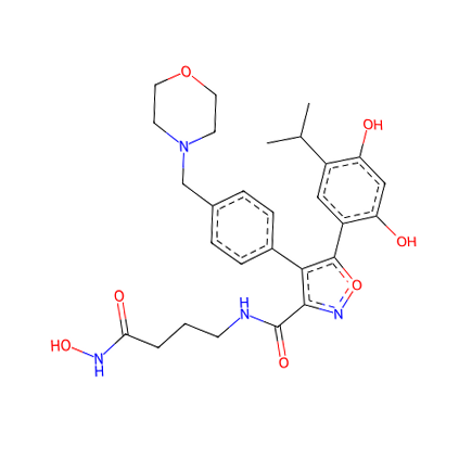 CC(C)c1cc(-c2onc(C(=O)NCCCC(=O)NO)c2-c2ccc(CN3CCOCC3)cc2)c(O)cc1O